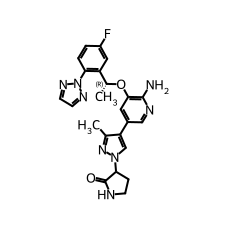 Cc1nn(C2CCNC2=O)cc1-c1cnc(N)c(O[C@H](C)c2cc(F)ccc2-n2nccn2)c1